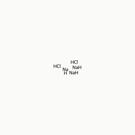 Cl.Cl.[NaH].[NaH].[NaH]